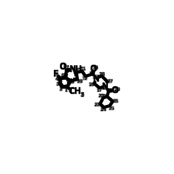 Cc1ccc(F)c2c(=O)[nH]c(CCC(=O)N3CCN(C(=O)C4CCCCC4)CC3)cc12